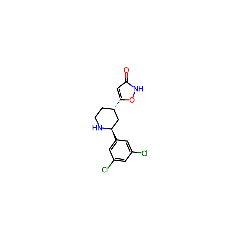 O=c1cc([C@H]2CCN[C@H](c3cc(Cl)cc(Cl)c3)C2)o[nH]1